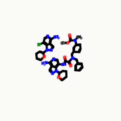 CN(C(=O)OC(C)(C)C)c1cccc(CN(Cc2ccccc2)C(=O)C(=O)Nc2cnc(N)c3cnn(C4CCCCO4)c23)c1.Nc1ncc(Br)c2c1cnn2C1CCCCO1